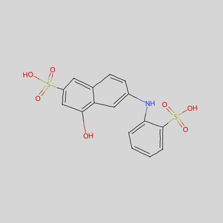 O=S(=O)(O)c1cc(O)c2cc(Nc3ccccc3S(=O)(=O)O)ccc2c1